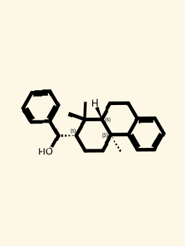 CC1(C)[C@@H](C(O)c2ccccc2)CC[C@]2(C)c3ccccc3CC[C@@H]12